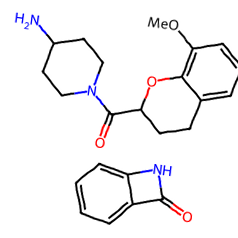 COc1cccc2c1OC(C(=O)N1CCC(N)CC1)CC2.O=C1Nc2ccccc21